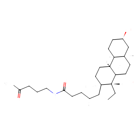 COC(=O)CCCNC(=O)CC[C@@H](C)[C@H]1CC[C@H]2[C@@H]3[C@@H](O)C[C@@H]4C[C@H](O)CC[C@]4(C)[C@H]3CC[C@]12C